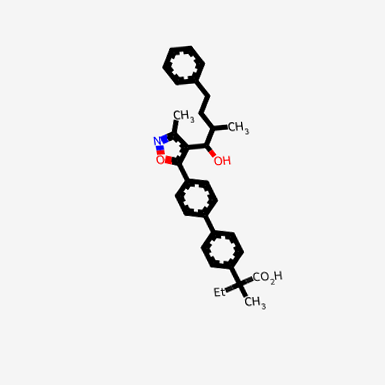 CCC(C)(C(=O)O)c1ccc(-c2ccc(-c3onc(C)c3C(O)C(C)CCc3ccccc3)cc2)cc1